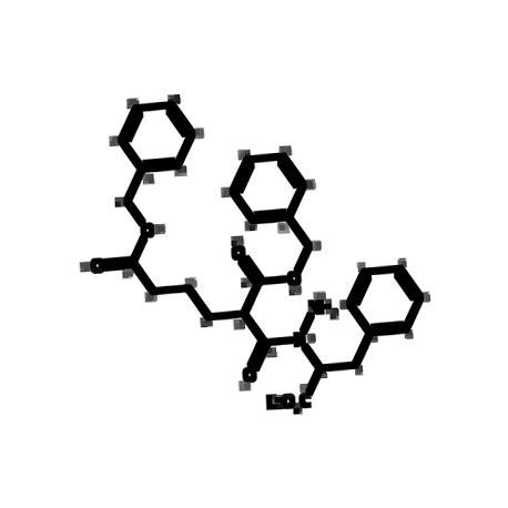 CCOC(=O)C(Cc1ccccc1)N(N)C(=O)C(CCCC(=O)OCc1ccccc1)C(=O)OCc1ccccc1